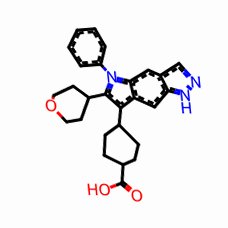 O=C(O)C1CCC(c2c(C3CCOCC3)n(-c3ccccc3)c3cc4cn[nH]c4cc23)CC1